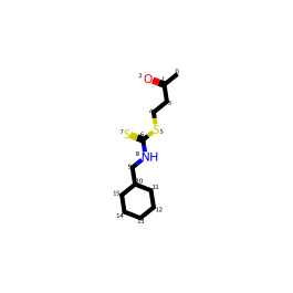 CC(=O)CCSC(=S)NCC1CCCCC1